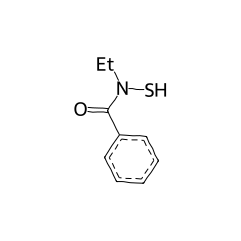 CCN(S)C(=O)c1ccccc1